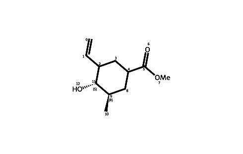 C=CC1CC(C(=O)OC)C[C@@H](C)[C@@H]1O